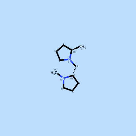 C[C@@H]1CCCN1C[C@@H]1CCCN1C